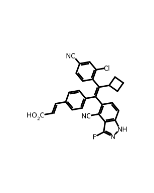 N#Cc1ccc(/C(=C(\c2ccc(/C=C/C(=O)O)cc2)c2ccc3[nH]nc(F)c3c2C#N)C2CCC2)c(Cl)c1